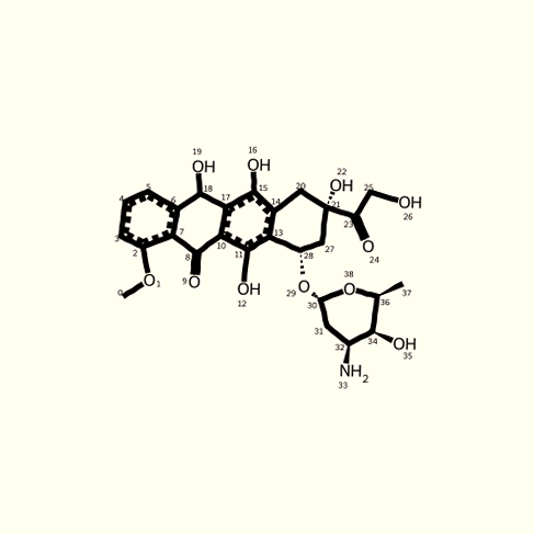 COc1cccc2c1C(=O)c1c(O)c3c(c(O)c1C2O)C[C@@](O)(C(=O)CO)C[C@@H]3O[C@H]1C[C@H](N)[C@H](O)[C@H](C)O1